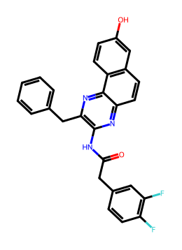 O=C(Cc1ccc(F)c(F)c1)Nc1nc2ccc3cc(O)ccc3c2nc1Cc1ccccc1